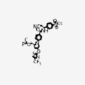 CCS(=O)(=O)c1ccc([C@H](CC#N)NC(=O)c2ccc(N3C[C@@H](Oc4nc(C(F)(F)F)cs4)C[C@H]3COC(F)F)cc2)cc1